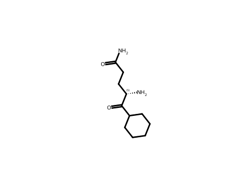 NC(=O)CC[C@H](N)C(=O)C1CCCCC1